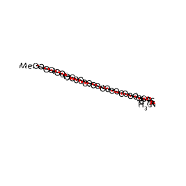 COCCOCCOCCOCCOCCOCCOCCOCCOCCOCCOCCOCCOCCOCCOCCOCCOCCOCCOCCOCCOCCOCCOCC(=O)OCc1cccc(-c2scnc2C)c1